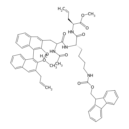 C=CCc1cc2ccccc2c(-c2c(OC)c(CC(NC(C)=O)C(=O)N[C@@H](CCCCNC(=O)OCC3c4ccccc4-c4ccccc43)C(=O)N[C@@H](CC=C)C(=O)OC)cc3ccccc23)c1OC